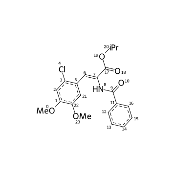 COc1cc(Cl)c(C=C(NC(=O)c2ccccc2)C(=O)OC(C)C)cc1OC